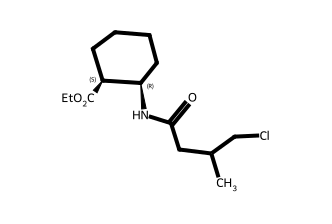 CCOC(=O)[C@H]1CCCC[C@H]1NC(=O)CC(C)CCl